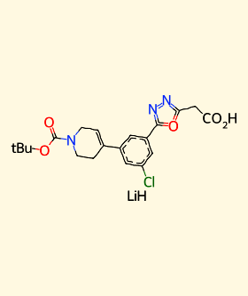 CC(C)(C)OC(=O)N1CC=C(c2cc(Cl)cc(-c3nnc(CC(=O)O)o3)c2)CC1.[LiH]